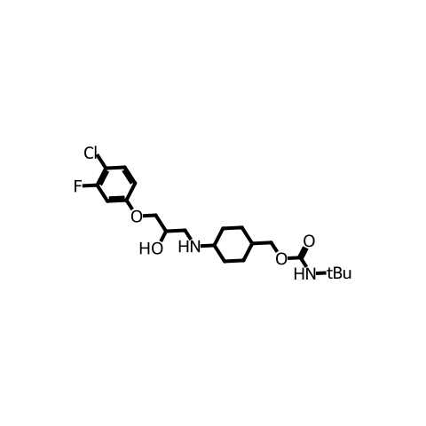 CC(C)(C)NC(=O)OCC1CCC(NCC(O)COc2ccc(Cl)c(F)c2)CC1